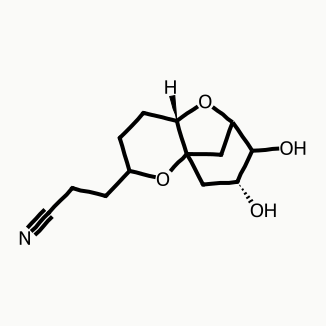 N#CCCC1CC[C@@H]2OC3CC2(C[C@@H](O)C3O)O1